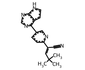 CC(C)(C)C=C(C#N)c1ccc(-c2ncnc3[nH]ccc23)cn1